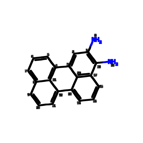 Nc1cc2c3cccc4cccc(c5cccc(c1N)c52)c43